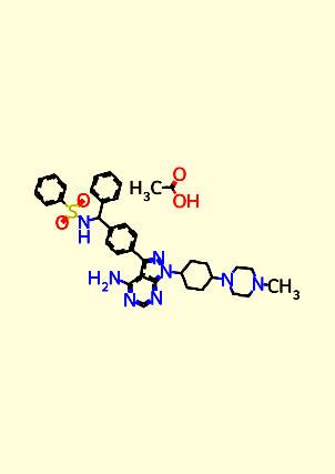 CC(=O)O.CN1CCN(C2CCC(n3nc(-c4ccc(C(NS(=O)(=O)c5ccccc5)c5ccccc5)cc4)c4c(N)ncnc43)CC2)CC1